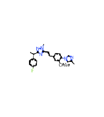 COc1cc(/C=C/c2nc(C(C)c3ccc(F)cc3)nn2C)ccc1-n1cnc(C)c1